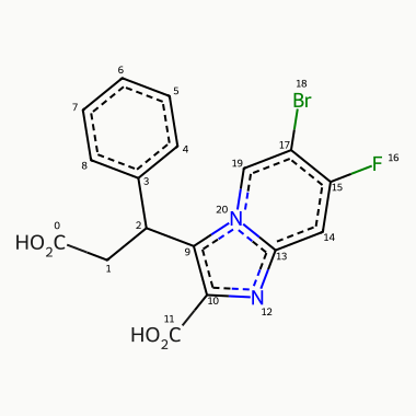 O=C(O)CC(c1ccccc1)c1c(C(=O)O)nc2cc(F)c(Br)cn12